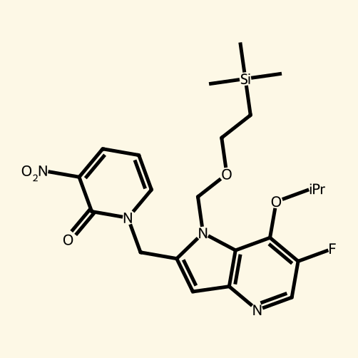 CC(C)Oc1c(F)cnc2cc(Cn3cccc([N+](=O)[O-])c3=O)n(COCC[Si](C)(C)C)c12